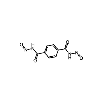 O=NNC(=O)c1ccc(C(=O)NN=O)cc1